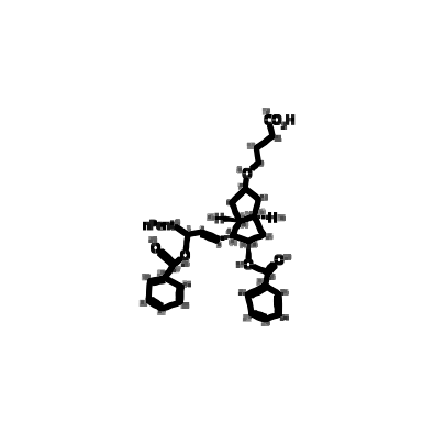 CCCCCC(C=C[C@@H]1[C@@H]2CC(OCCCC(=O)O)C[C@H]2C[C@H]1OC(=O)c1ccccc1)OC(=O)c1ccccc1